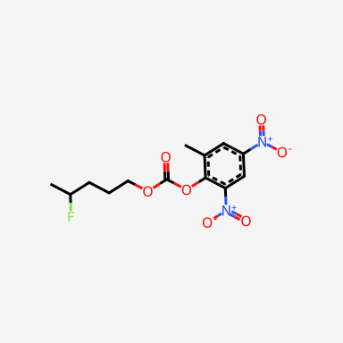 Cc1cc([N+](=O)[O-])cc([N+](=O)[O-])c1OC(=O)OCCCC(C)F